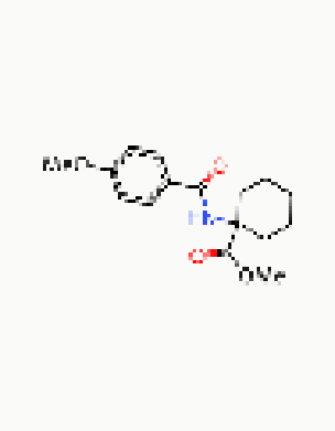 COC(=O)C1(NC(=O)c2ccc(OC)cc2)CCCCC1